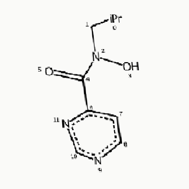 CC(C)CN(O)C(=O)c1ccncn1